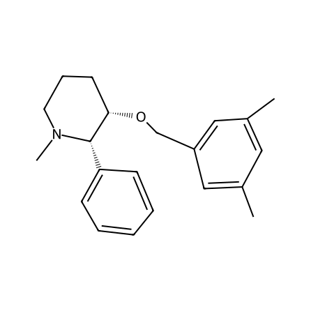 Cc1cc(C)cc(CO[C@H]2CCCN(C)[C@H]2c2ccccc2)c1